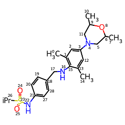 Cc1cc(N2CC(C)OC(C)C2)cc(C)c1NCc1ccc(NS(=O)(=O)C(C)C)cc1